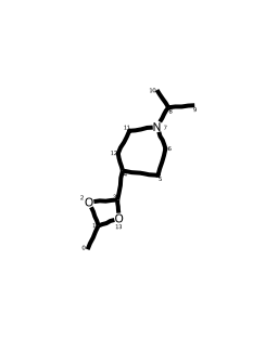 CC1OC(C2CCN(C(C)C)CC2)O1